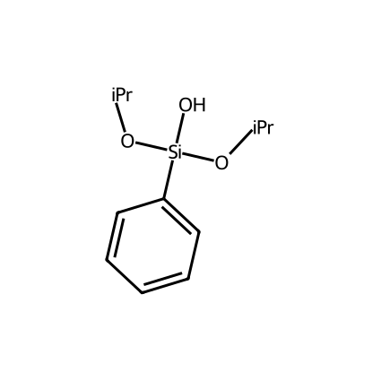 CC(C)O[Si](O)(OC(C)C)c1ccccc1